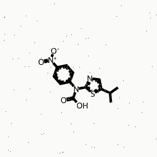 CC(C)c1cnc(N(C(=O)O)c2ccc([N+](=O)[O-])cc2)s1